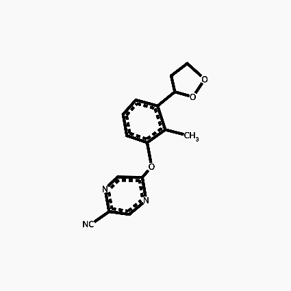 Cc1c(Oc2cnc(C#N)cn2)cccc1C1CCOO1